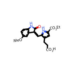 CCOC(=O)c1cc(CCC(=O)O)c(/C=C2\C(=O)Nc3ccc(OC)cc32)[nH]1